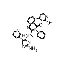 COc1cc(-c2cccc3nc(C(C)Nc4nc(N)ncc4-c4cccnc4)n(-c4ccccc4)c(=O)c23)ccn1